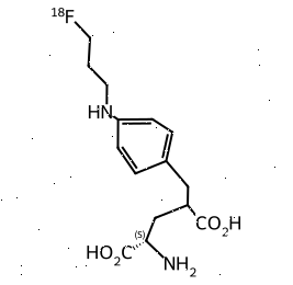 N[C@@H](CC(Cc1ccc(NCCC[18F])cc1)C(=O)O)C(=O)O